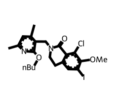 CCCCOc1nc(C)cc(C)c1CN1CCc2cc(I)c(OC)c(Cl)c2C1=O